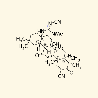 CN/C(=N\C#N)N[C@]12CCC(C)(C)C[C@H]1[C@H]1C(=O)C=C3[C@@]4(C)C=C(C#N)C(=O)C(C)(C)[C@@H]4CC[C@@]3(C)[C@]1(C)CC2